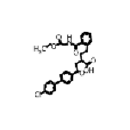 CCOC(=O)CNC(=O)c1ccccc1CCC(CC(=O)c1ccc(-c2ccc(Cl)cc2)cc1)C(=O)O